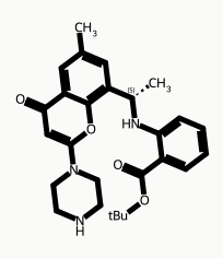 Cc1cc([C@H](C)Nc2ccccc2C(=O)OC(C)(C)C)c2oc(N3CCNCC3)cc(=O)c2c1